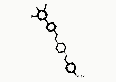 CCCCCCc1ccc(CC[C@H]2CC[C@H](CCc3ccc(-c4cc(F)c(Cl)c(F)c4)cc3)CC2)cc1